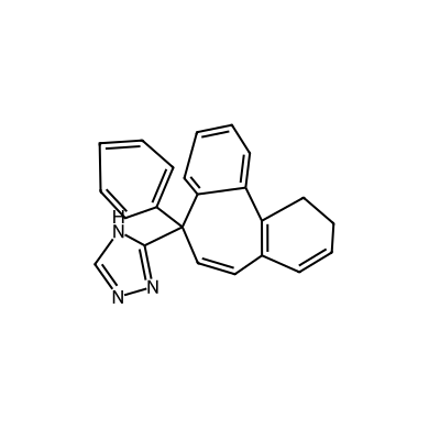 C1=CC2=C(CC1)c1ccccc1C(c1ccccc1)(c1nnc[nH]1)C=C2